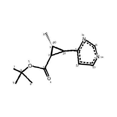 C[C@H]1C(C(=O)OC(C)(C)C)C1c1ccncn1